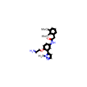 COc1cccc(CC(=O)Nc2ccc(OCCN)c(-c3ccnn3C)c2)c1OC